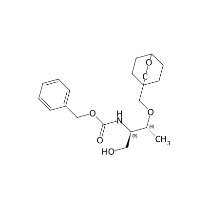 C[C@@H](OCC12CCC(CC1)OC2)[C@@H](CO)NC(=O)OCc1ccccc1